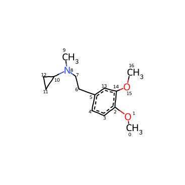 COc1ccc(CCN(C)C2CC2)cc1OC